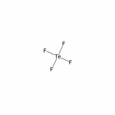 F[Te](F)(F)F